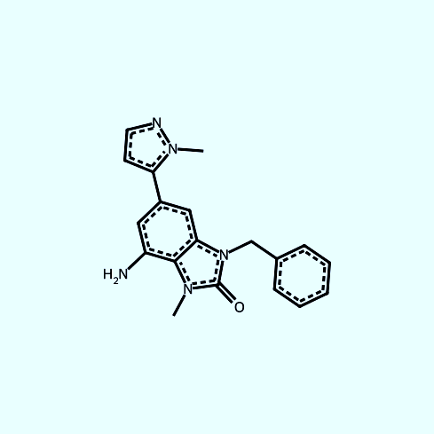 Cn1nccc1-c1cc(N)c2c(c1)n(Cc1ccccc1)c(=O)n2C